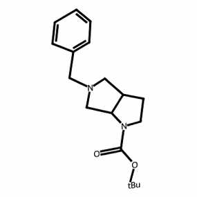 CC(C)(C)OC(=O)N1CCC2CN(Cc3ccccc3)CC21